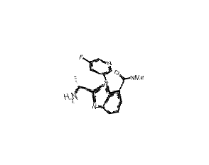 CNC(=O)c1cccc2nc([C@@H](C)N)n(-c3cncc(F)c3)c12